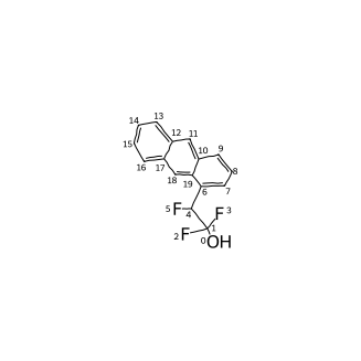 OC(F)(F)C(F)c1cccc2cc3ccccc3cc12